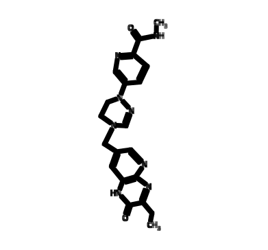 CCc1nc2ncc(CN3C=NN(c4ccc(C(=O)NC)nc4)CC3)cc2[nH]c1=O